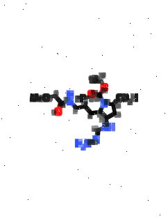 CCCC(CNC(=O)COC)C[C@@H]1[C@H](NC=NN)C[C@H](C(=O)O)N1C(=O)OC(C)(C)C